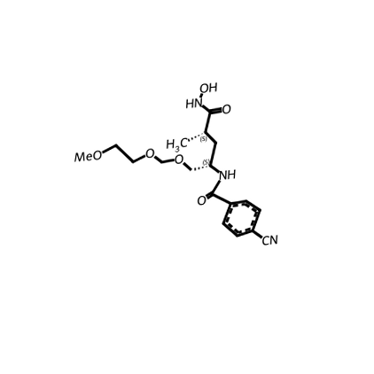 COCCOCOC[C@H](C[C@H](C)C(=O)NO)NC(=O)c1ccc(C#N)cc1